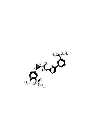 Cc1ccc([C@@H]2C[C@@H]2C(=O)Nc2nc(-c3cccc(N(C)C)c3)cs2)cc1S(C)(=O)=O